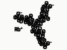 O=P([O][Mo](=[O])(=[O])[O][Mo](=[O])(=[O])[O][Mo](=[O])(=[O])[O][Mo](=[O])(=[O])[O-])([O][Mo](=[O])(=[O])[O][Mo](=[O])(=[O])[O][Mo](=[O])(=[O])[O][Mo](=[O])(=[O])[O-])[O][Mo](=[O])(=[O])[O][Mo](=[O])(=[O])[O][Mo](=[O])(=[O])[O][Mo](=[O])(=[O])[O-].[Rb+]